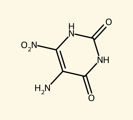 Nc1c([N+](=O)[O-])[nH]c(=O)[nH]c1=O